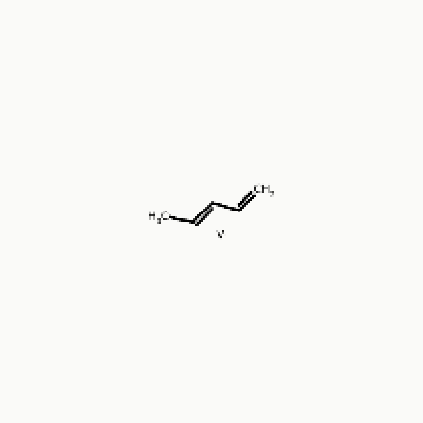 C=CC=CC.[V]